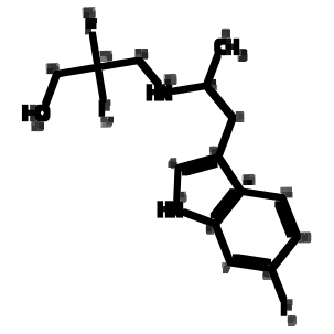 CC(Cc1c[nH]c2cc(F)ccc12)NCC(F)(F)CO